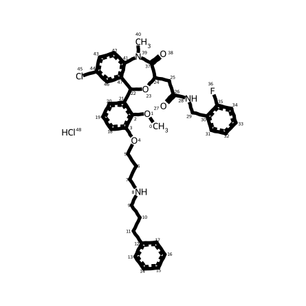 COc1c(OCCCNCCCc2ccccc2)cccc1C1OC(CC(=O)NCc2ccccc2F)C(=O)N(C)c2ccc(Cl)cc21.Cl